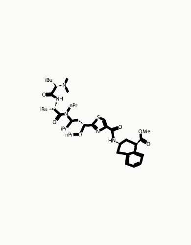 CCCO[C@H](CC(C(C)C)N(CCC)C(=O)[C@@H](NC(=O)[C@H]([C@@H](C)CC)N(C)C)[C@@H](C)CC)c1nc(C(=O)N[C@H]2Cc3ccccc3[C@H](C(=O)OC)C2)cs1